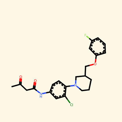 CC(=O)CC(=O)Nc1ccc(N2CCCC(COc3cccc(F)c3)C2)c(Cl)c1